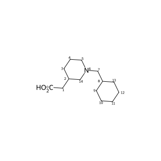 O=C(O)CC1CCCN(CC2CCCCC2)C1